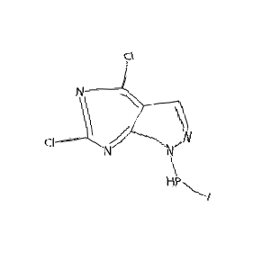 Clc1nc(Cl)c2cnn(PI)c2n1